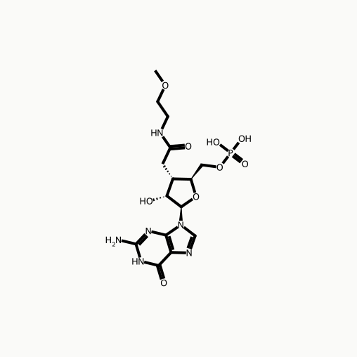 COCCNC(=O)C[C@H]1[C@@H](O)[C@H](n2cnc3c(=O)[nH]c(N)nc32)O[C@@H]1COP(=O)(O)O